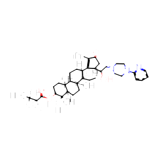 CC(C)C1=C2[C@H]3CCC4[C@@]5(C)CC[C@H](OC(=O)CC(C)(C)C(=O)O)C(C)(C)[C@@H]5CC[C@@]4(C)[C@]3(C)CC[C@@]2([C@H](O)CN2CCN(c3ccccn3)CC2)CC1=O